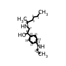 CCCCC(C)NCC(O)c1ccc(NSC)cc1